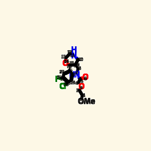 COCCOCC(=O)NC[C@@H]1CNCCO[C@H]1c1ccc(Cl)c(F)c1